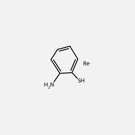 Nc1ccccc1S.[Re]